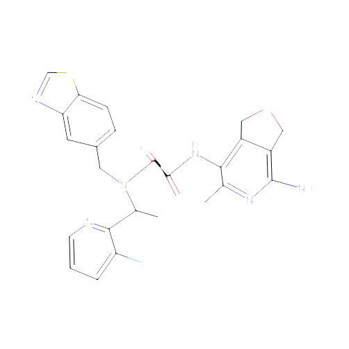 Cc1nc(N)c2c(c1NC(=O)C(=O)N(Cc1ccc3scnc3c1)C(C)c1ncccc1F)COC2